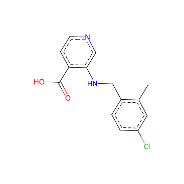 Cc1cc(Cl)ccc1CNc1cnccc1C(=O)O